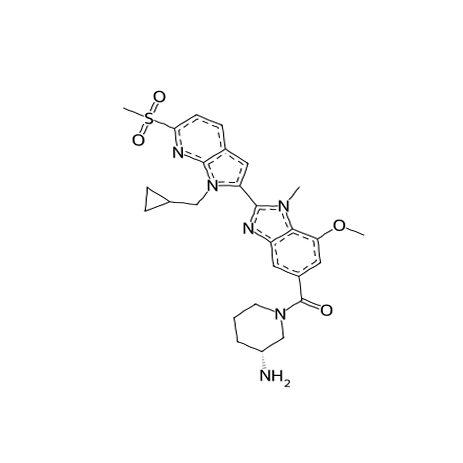 COc1cc(C(=O)N2CCC[C@@H](N)C2)cc2nc(-c3cc4ccc(S(C)(=O)=O)nc4n3CC3CC3)n(C)c12